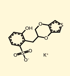 O=S(=O)([O-])c1cccc(O)c1CC1COc2cscc2O1.[K+]